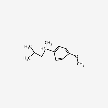 COc1ccc([SiH](C)CC(C)C)cc1